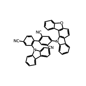 N#Cc1ccc(-c2cc(C#N)c(-n3c4ccccc4c4ccc5oc6ccccc6c5c43)cc2C#N)c(-n2c3ccccc3c3ccccc32)c1